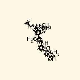 CNS(=O)(=O)c1cc(-c2sc(Nc3cccc(N4CCN(C(=O)O)[C@H](C)C4=O)n3)nc2C)cc2c1C(=O)N(CCC1CC1)C2